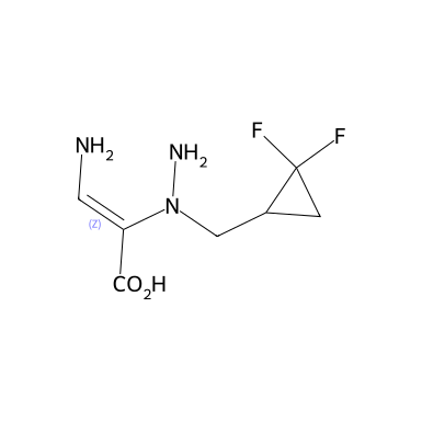 N/C=C(/C(=O)O)N(N)CC1CC1(F)F